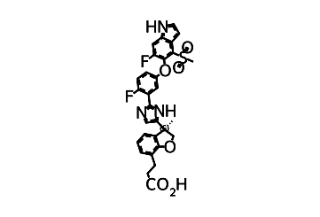 C[C@]1(c2cnc(-c3cc(Oc4c(F)cc5[nH]ccc5c4S(C)(=O)=O)ccc3F)[nH]2)COc2c(CCC(=O)O)cccc21